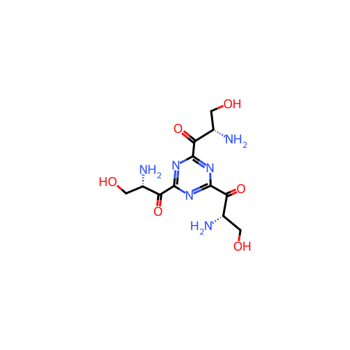 N[C@@H](CO)C(=O)c1nc(C(=O)[C@@H](N)CO)nc(C(=O)[C@@H](N)CO)n1